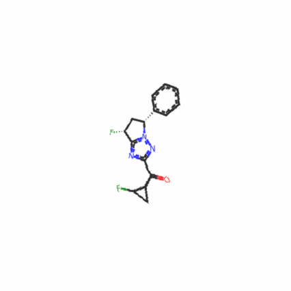 O=C(c1nc2n(n1)[C@@H](c1ccccc1)C[C@H]2F)C1CC1F